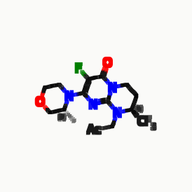 CC(=O)CN1c2nc(N3CCOC[C@H]3C)c(F)c(=O)n2CC[C@H]1C(F)(F)F